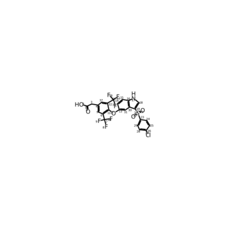 O=C(O)Cc1cc(C(F)(F)F)c(Oc2ccc3[nH]cc(S(=O)(=O)c4ccc(Cl)cc4)c3c2)c(C(F)(F)F)c1